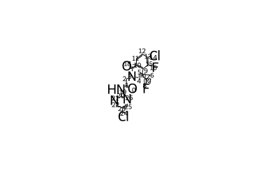 O=C(CN1C[C@@]2(C[C@H]2F)c2c(ccc(Cl)c2F)C1=O)Nc1ncc(Cl)cn1